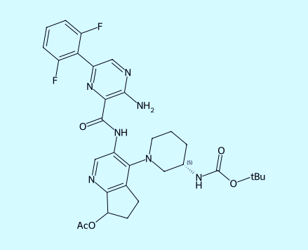 CC(=O)OC1CCc2c1ncc(NC(=O)c1nc(-c3c(F)cccc3F)cnc1N)c2N1CCC[C@H](NC(=O)OC(C)(C)C)C1